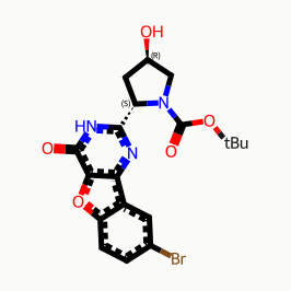 CC(C)(C)OC(=O)N1C[C@H](O)C[C@H]1c1nc2c(oc3ccc(Br)cc32)c(=O)[nH]1